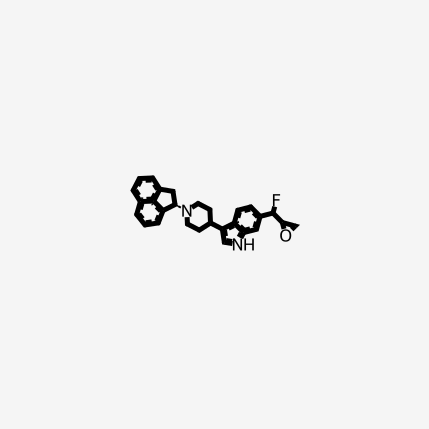 FC(c1ccc2c(C3CCN([C@H]4Cc5cccc6cccc4c56)CC3)c[nH]c2c1)C1CO1